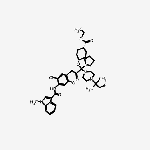 CCOC(=O)[C@H]1CC[C@H](OC(C(=O)Cc2cc(Cl)c(NC(=O)c3cn(C)c4ccccc34)cc2Cl)(N2CCCC2)N2CCN(C(C)(C)CF)CC2)CC1